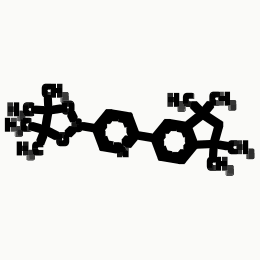 CC1(C)CC(C)(C)c2cc(-c3ccc(B4OC(C)(C)C(C)(C)O4)cn3)ccc21